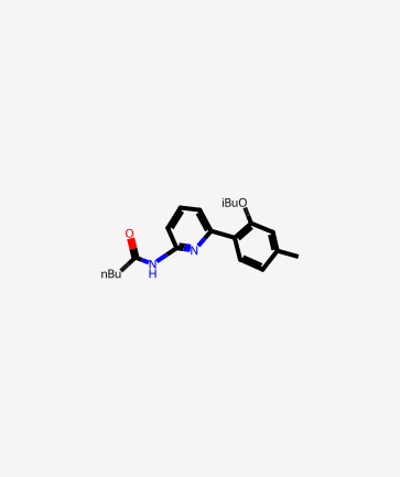 CCCCC(=O)Nc1cccc(-c2ccc(C)cc2OCC(C)C)n1